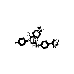 Cc1ccc(N(CC(=O)Nc2ccc(-c3cocn3)cc2)C(=O)C2(F)CCS(=O)(=O)CC2)cc1